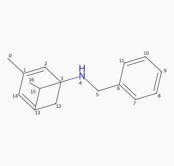 CC1=CC2(NCc3ccccc3)CC(=C1)C2C